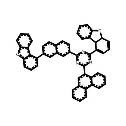 C1=CC2Oc3ccccc3C2C(c2nc(-c3ccc4ccc(-c5cccc6oc7ccccc7c56)cc4c3)nc(-c3cc4ccccc4c4ccccc34)n2)=C1